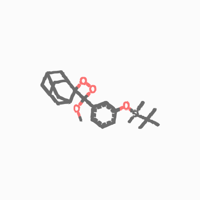 COC1(c2cccc(O[Si](C)(C)C(C)(C)C)c2)OOC12C1CC3CC(C1)CC2C3